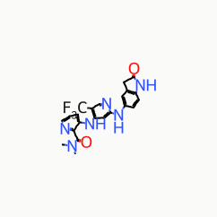 CN(C)C(=O)c1ncccc1Nc1cc(Nc2ccc3c(c2)CC(=O)N3)ncc1C(F)(F)F